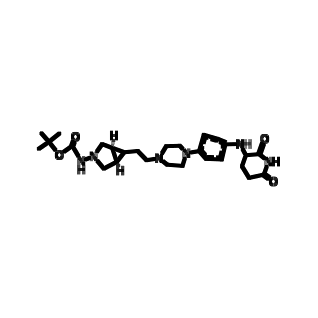 CC(C)(C)OC(=O)NN1C[C@@H]2C(CCN3CCN(c4ccc(NC5CCC(=O)NC5=O)cc4)CC3)[C@@H]2C1